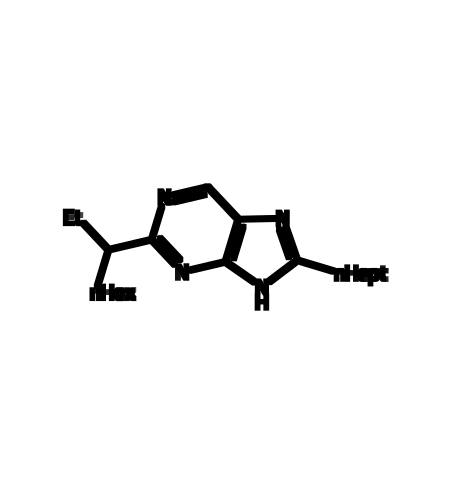 CCCCCCCc1nc2cnc(C(CC)CCCCCC)nc2[nH]1